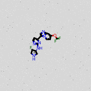 FC(F)Oc1ccn2c(-c3ccnc(N[C@H]4CNC[C@@H]4F)n3)cnc2c1